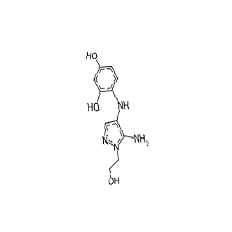 Nc1c(Nc2ccc(O)cc2O)cnn1CCO